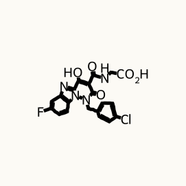 O=C(O)CNC(=O)c1c(O)c2nc3cc(F)ccc3n2n(Cc2ccc(Cl)cc2)c1=O